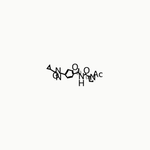 CC(=O)N1CC[C@H]1C(=O)N[C@@H]1COc2cc(-c3noc(C4CC4)n3)ccc21